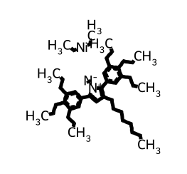 CCCCCCCCC1=C(c2cc(CCC)c(CCC)c(CCC)c2)[N+](=[N-])C(c2cc(CCC)c(CCC)c(CCC)c2)=C1.C[CH2][Ni][CH2]C